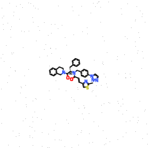 Cc1nc(C=CC(=O)N(Cc2ccc(-n3ccnn3)cc2)[C@@H](Cc2ccccc2)C(=O)N2CCc3ccccc3C2)cs1